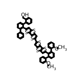 COc1ccccc1-c1cccc(-c2ccccc2OC)c1-c1cc2sc3cc(-c4cc5sc6cc(-c7c(-c8ccccc8)cccc7-c7ccccc7CO)sc6c5s4)sc3c2s1